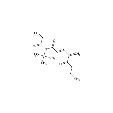 C=CC(=O)N(C(=O)C=CC(=C)C(=O)OCC)C(C)(C)C